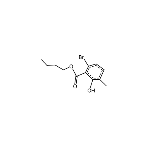 CCCCOC(=O)c1c(Br)ccc(C)c1O